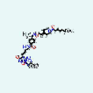 CCCCCCCCCCCCCCCC(=O)N1CCC(CCO/N=C(/C)c2ccc(C(=O)NCCCC[C@H](NC(=O)[C@H](CC(C)C)NC)C(N)=O)cc2)CC1